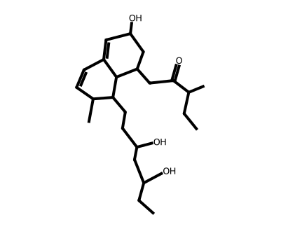 CCC(O)CC(O)CCC1C(C)C=CC2=CC(O)CC(CC(=O)C(C)CC)C21